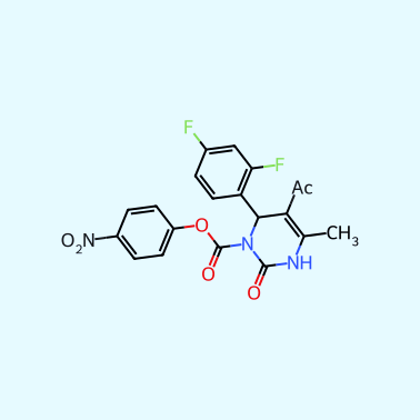 CC(=O)C1=C(C)NC(=O)N(C(=O)Oc2ccc([N+](=O)[O-])cc2)C1c1ccc(F)cc1F